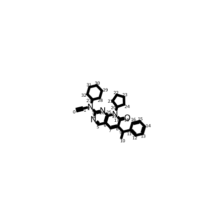 C#CN(c1ncc2cc(C(C)c3ccccc3)c(=O)n(C3CCCC3)c2n1)C1CCCCC1